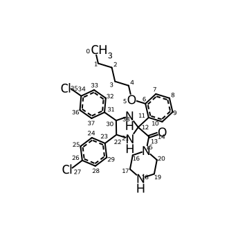 CCCCCOc1ccccc1C1(C(=O)N2CCNCC2)NC(c2ccc(Cl)cc2)C(c2ccc(Cl)cc2)N1